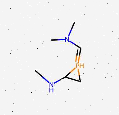 CNC1C/[PH]1=C/N(C)C